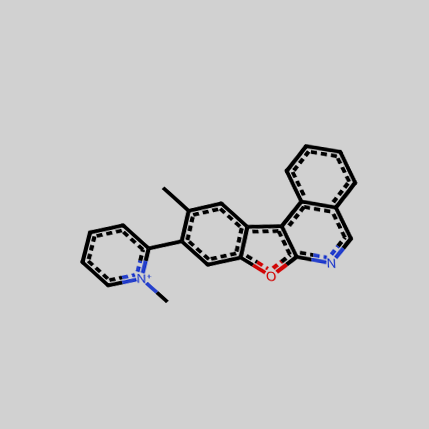 Cc1cc2c(cc1-c1cccc[n+]1C)oc1ncc3ccccc3c12